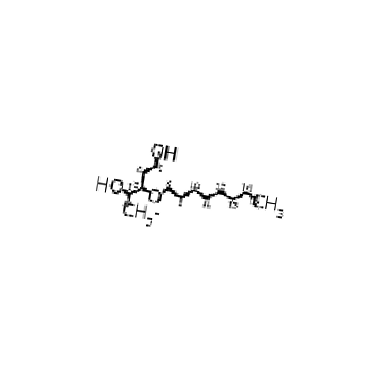 [CH2]C(O)C(CCO)OCCCCCCCC